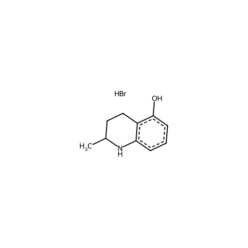 Br.CC1CCc2c(O)cccc2N1